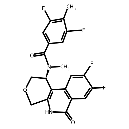 Cc1c(F)cc(C(=O)N(C)[C@@H]2COCc3[nH]c(=O)c4cc(F)c(F)cc4c32)cc1F